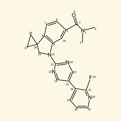 CN(C)C(=O)c1ccc2c(c1)N(c1ncc(-c3cccnc3F)cn1)CC21CC1